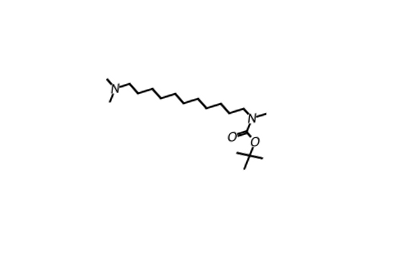 CN(C)CCCCCCCCCCCN(C)C(=O)OC(C)(C)C